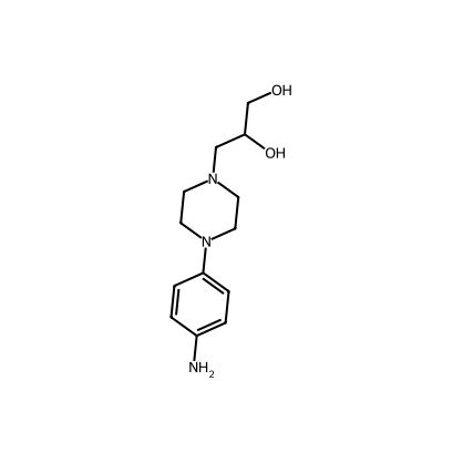 Nc1ccc(N2CCN(CC(O)CO)CC2)cc1